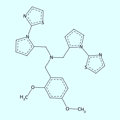 COc1ccc(CN(Cc2cccn2-c2nccs2)Cc2cccn2-c2nccs2)c(OC)c1